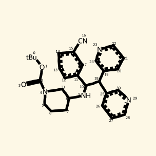 CC(C)(C)OC(=O)N1CCCC(NC(c2cccc(C#N)c2)C(c2cccnc2)c2cccnc2)C1